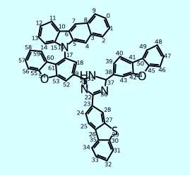 c1ccc2cc3c(cc2c1)c1ccccc1n3-c1cc(C2=NC(c3ccc4c(c3)sc3ccccc34)=NC(c3ccc4c(c3)oc3ccccc34)N2)cc2oc3ccccc3c12